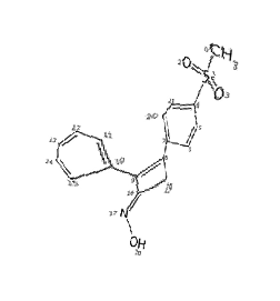 CS(=O)(=O)c1ccc(C2=C(c3ccccc3)C(=NO)C2)cc1